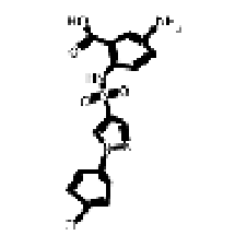 Nc1ccc(NS(=O)(=O)c2cnn(-c3ccc(Cl)cc3)c2)c(C(=O)O)c1